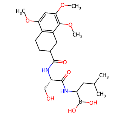 COc1cc(OC)c(OC)c2c1CCC(C(=O)N[C@@H](CO)C(=O)NC(CC(C)C)B(O)O)C2